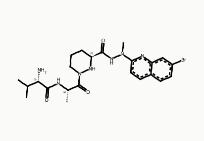 CC(C)[C@H](N)C(=O)N[C@@H](C)C(=O)N1CCC[C@@H](C(=O)NN(C)c2ccc3ccc(Br)cc3n2)N1